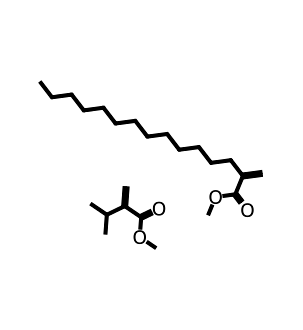 C=C(C(=O)OC)C(C)C.C=C(CCCCCCCCCCCCC)C(=O)OC